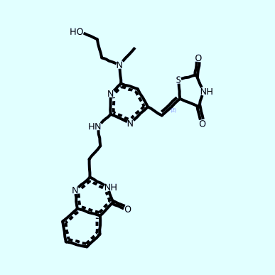 CN(CCO)c1cc(/C=C2\SC(=O)NC2=O)nc(NCCc2nc3ccccc3c(=O)[nH]2)n1